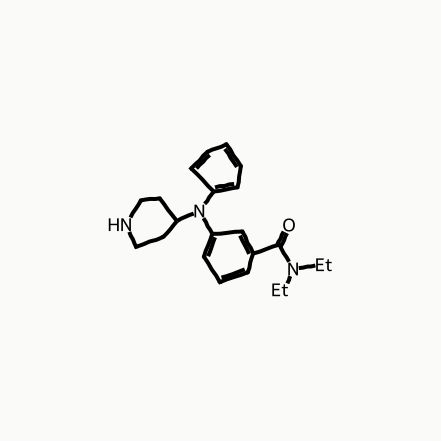 CCN(CC)C(=O)c1cccc(N(c2ccccc2)C2CCNCC2)c1